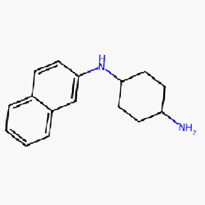 NC1CCC(Nc2ccc3ccccc3c2)CC1